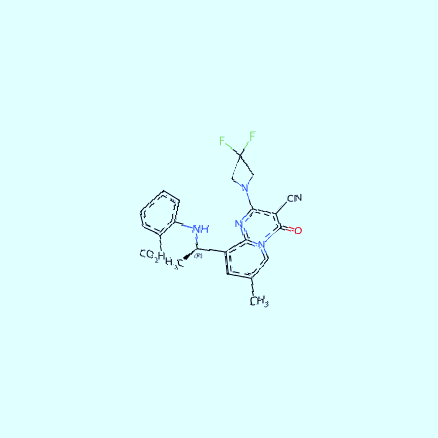 Cc1cc([C@@H](C)Nc2ccccc2C(=O)O)c2nc(N3CC(F)(F)C3)c(C#N)c(=O)n2c1